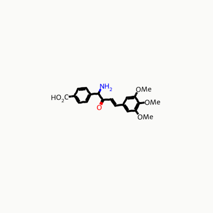 COc1cc(C=CC(=O)C(N)c2ccc(C(=O)O)cc2)cc(OC)c1OC